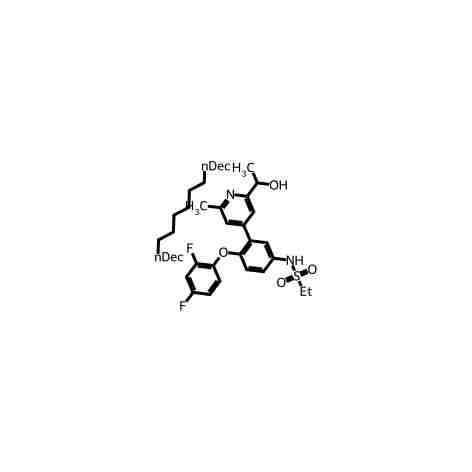 CCCCCCCCCCCCCCCCCCCCCCCCCC.CCS(=O)(=O)Nc1ccc(Oc2ccc(F)cc2F)c(-c2cc(C)nc(C(C)O)c2)c1